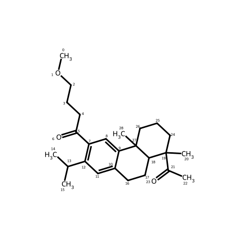 COCCCC(=O)c1cc2c(cc1C(C)C)CCC1C(C)(C(C)=O)CCCC21C